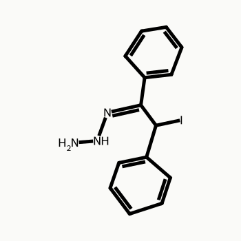 NN/N=C(/c1ccccc1)C(I)c1ccccc1